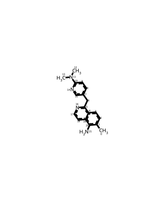 Cc1ccc2c(Cc3ccc(N(C)C)nc3)nccc2c1N